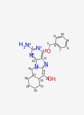 Nc1nc(OCc2ccccc2)c2ncn(CC3CCCCC3CO)c2n1